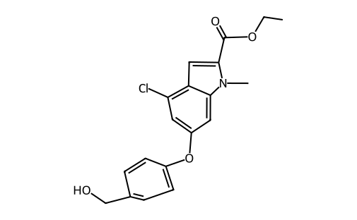 CCOC(=O)c1cc2c(Cl)cc(Oc3ccc(CO)cc3)cc2n1C